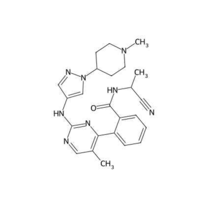 Cc1cnc(Nc2cnn(C3CCN(C)CC3)c2)nc1-c1ccccc1C(=O)NC(C)C#N